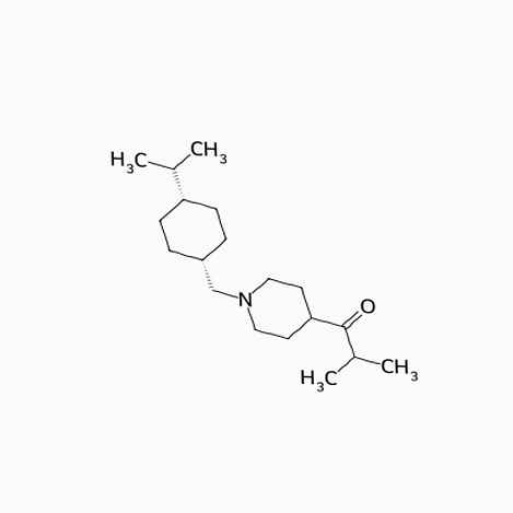 CC(C)C(=O)C1CCN(C[C@H]2CC[C@@H](C(C)C)CC2)CC1